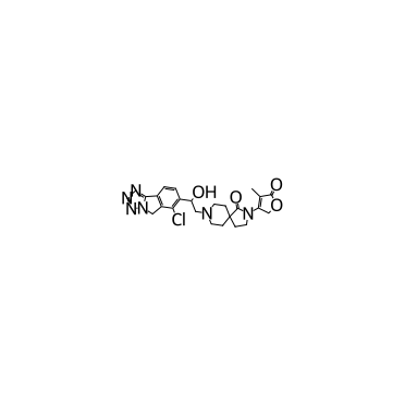 CC1=C(N2CCC3(CCN(CC(O)c4ccc5c(c4Cl)Cn4nnnc4-5)CC3)C2=O)COC1=O